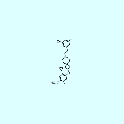 O=C(O)c1cc(C2CC2)c(OC2CC3(CCN(CCc4cc(Cl)cc(Cl)c4)CC3)C2)cc1F